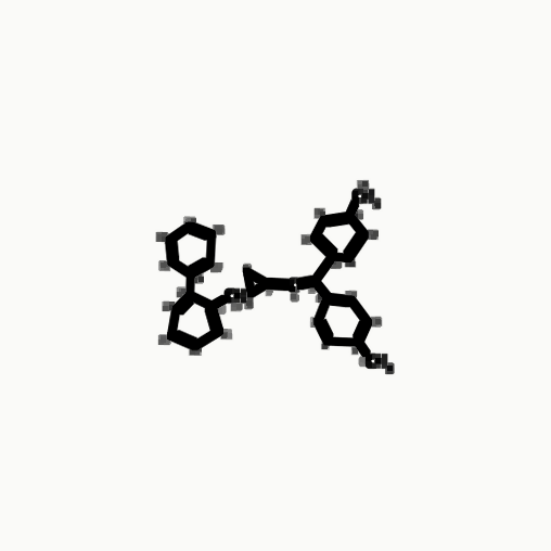 Cc1ccc(C(=C=C2CC2)c2ccc(C)cc2)cc1.Cc1ccccc1-c1ccccc1